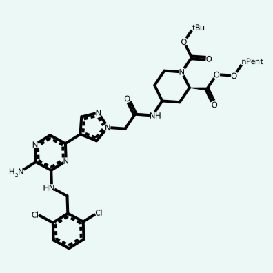 CCCCCOOC(=O)[C@H]1CC(NC(=O)Cn2cc(-c3cnc(N)c(NCc4c(Cl)cccc4Cl)n3)cn2)CCN1C(=O)OC(C)(C)C